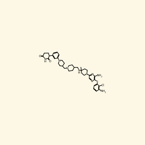 CC1(NCC2CCN(CC3CCN(c4cccc(C5CCC(=O)NC5=O)c4)CC3)CC2)CCN(c2cnc(Sc3cccc(N)c3Cl)c(N)n2)CC1